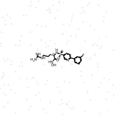 N=C(N)NCCC[C@@H](NS(=O)(=O)c1ccc(-c2cccc(F)c2)nc1)C(=O)NO